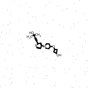 CC(C)(O)C#Cc1cc(N2CCC(OC3CC(O)C3)CC2)ccn1